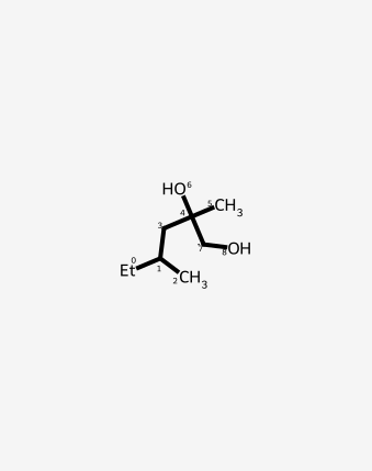 CCC(C)CC(C)(O)[CH]O